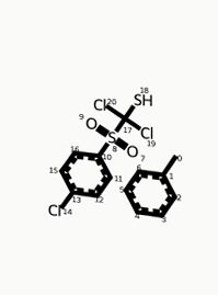 Cc1ccccc1.O=S(=O)(c1ccc(Cl)cc1)C(S)(Cl)Cl